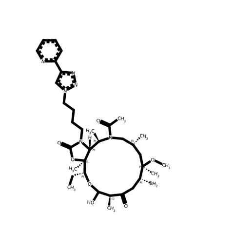 B[C@@H]1CC(=O)[C@@H](C)C(O)O[C@H](CC)[C@@]2(C)OC(=O)N(CCCCn3cc(-c4ccccn4)nn3)[C@@H]2[C@@H](C)N(C(C)=O)C[C@H](C)C[C@@]1(C)OC